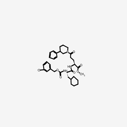 COC(=O)[C@H](CCC(=O)N1CCCC(c2ccccc2)C1)NC(=O)[C@H](CC1CCCCC1)NC(=O)OCc1cccc(Cl)c1